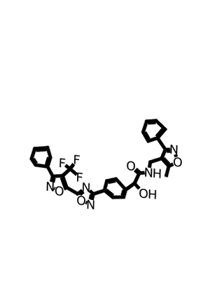 Cc1onc(-c2ccccc2)c1CNC(=O)C(O)c1ccc(-c2noc(-c3onc(-c4ccccc4)c3C(F)(F)F)n2)cc1